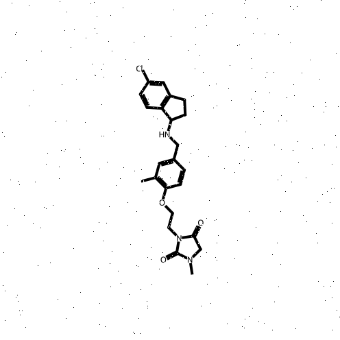 Cc1cc(CNC2CCc3cc(Cl)ccc32)ccc1OCCN1C(=O)CN(C)C1=O